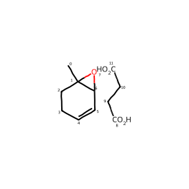 CC12CCC=CC1O2.O=C(O)CCC(=O)O